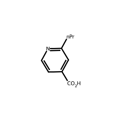 CCCc1cc(C(=O)O)ccn1